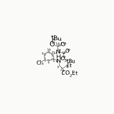 CCOC(=O)C(CC)CNc1cc(Cl)ccc1N(C(=O)OC(C)(C)C)C(=O)OC(C)(C)C